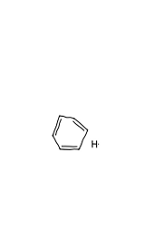 [H].c1ccccc1